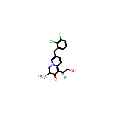 CC(C)[C@@H](CO)C1=C2C=CC(Cc3cccc(Cl)c3Cl)=CN2CC(C(=O)O)C1=O